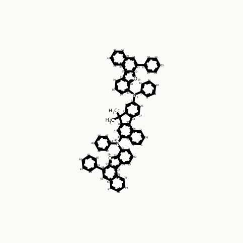 CC1(C)c2cc(N(c3ccccc3)c3cccc4c3oc3c(-c5ccccc5)cc5ccccc5c34)ccc2-c2c1cc(N(c1ccccc1)c1cccc3c1oc1c(-c4ccccc4)cc4ccccc4c13)c1ccccc21